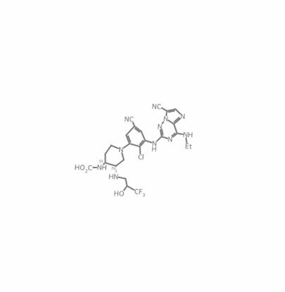 CCNc1nc(Nc2cc(C#N)cc(N3CC[C@H](NC(=O)O)[C@@H](NCC(O)C(F)(F)F)C3)c2Cl)nn2c(C#N)cnc12